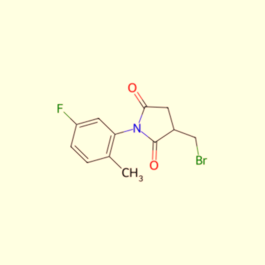 Cc1ccc(F)cc1N1C(=O)CC(CBr)C1=O